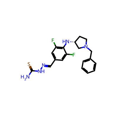 NC(=S)NN=Cc1cc(F)c(N[C@@H]2CCN(Cc3ccccc3)C2)c(F)c1